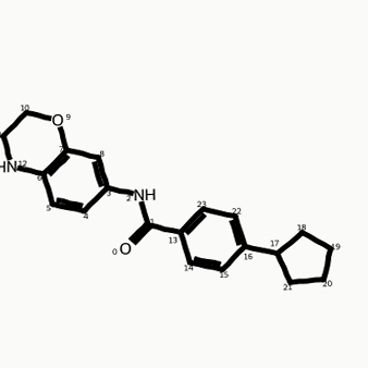 O=C(Nc1ccc2c(c1)OCCN2)c1ccc(C2CCCC2)cc1